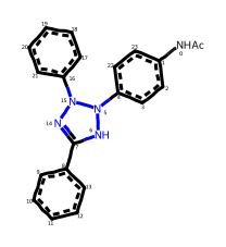 CC(=O)Nc1ccc(N2NC(c3ccccc3)=NN2c2ccccc2)cc1